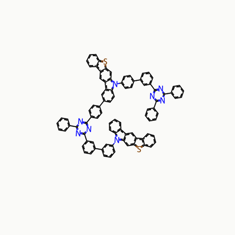 c1ccc(-c2nc(-c3ccccc3)nc(-c3cccc(-c4ccc(-n5c6ccc(-c7ccc(-c8nc(-c9ccccc9)nc(-c9cccc(-c%10cccc(-n%11c%12ccccc%12c%12cc%13c(cc%12%11)sc%11ccccc%11%13)c%10)c9)n8)cc7)cc6c6cc7c(cc65)sc5ccccc57)cc4)c3)n2)cc1